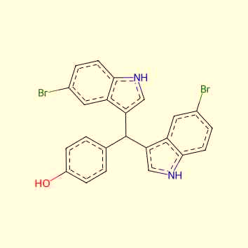 Oc1ccc(C(c2c[nH]c3ccc(Br)cc23)c2c[nH]c3ccc(Br)cc23)cc1